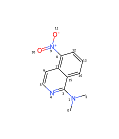 CN(C)c1nccc2c([N+](=O)[O-])cccc12